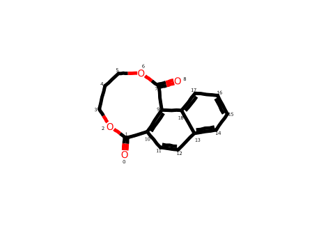 O=C1OCCCOC(=O)c2c1ccc1ccccc21